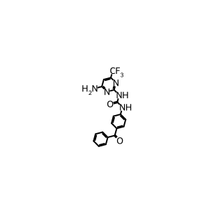 Nc1cc(C(F)(F)F)nc(NC(=O)Nc2ccc(C(=O)c3ccccc3)cc2)n1